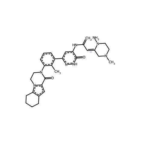 C=C(/C=C1/CN(C)CCN1N)Nc1cc(-c2cccc(N3CCn4c(cc5c4CCCC5)C3=O)c2C)n[nH]c1=O